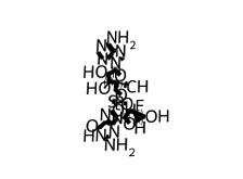 C#C[C@]1(COP(O)(=S)OC2[C@H](n3cnc4c(=O)[nH]c(N)nc43)O[C@@H]3C(O)[C@@]23F)O[C@@H](n2cnc3c(N)ncnc32)[C@H](O)[C@@H]1O